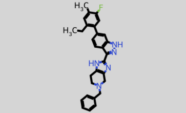 CCc1cc(C)c(F)cc1-c1ccc2c(-c3nc4c([nH]3)CCN(Cc3ccccc3)C4)n[nH]c2c1